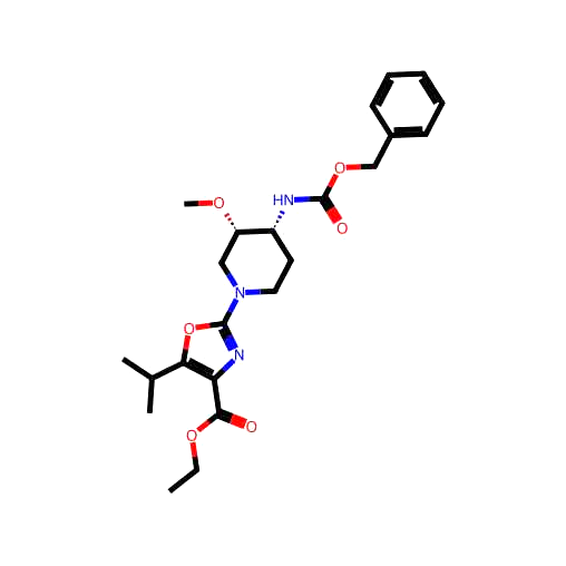 CCOC(=O)c1nc(N2CC[C@@H](NC(=O)OCc3ccccc3)[C@@H](OC)C2)oc1C(C)C